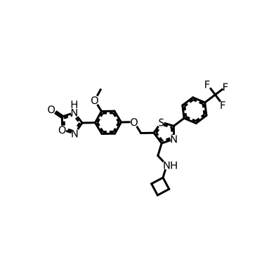 COc1cc(OCc2sc(-c3ccc(C(F)(F)F)cc3)nc2CNC2CCC2)ccc1-c1noc(=O)[nH]1